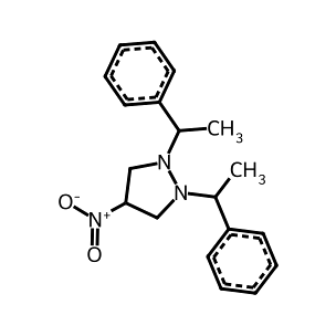 CC(c1ccccc1)N1CC([N+](=O)[O-])CN1C(C)c1ccccc1